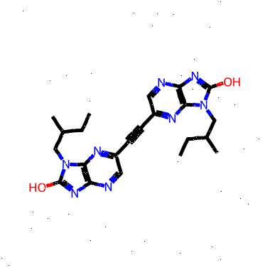 CCC(C)Cn1c(O)nc2ncc(C#Cc3cnc4nc(O)n(CC(C)CC)c4n3)nc21